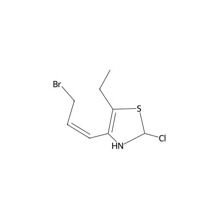 CCC1=C(/C=C\CBr)NC(Cl)S1